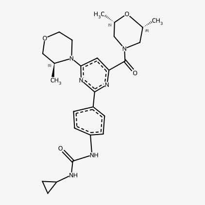 C[C@@H]1CN(C(=O)c2cc(N3CCOC[C@@H]3C)nc(-c3ccc(NC(=O)NC4CC4)cc3)n2)C[C@H](C)O1